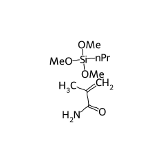 C=C(C)C(N)=O.CCC[Si](OC)(OC)OC